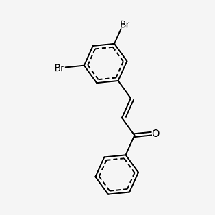 O=C(/C=C/c1cc(Br)cc(Br)c1)c1ccccc1